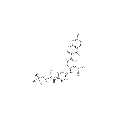 Cc1cc(Cl)ccc1N(C)C(=O)c1ccc(Sc2ccc(NC(=O)OCC(Cl)(Cl)Cl)cc2)c([N+](=O)[O-])c1